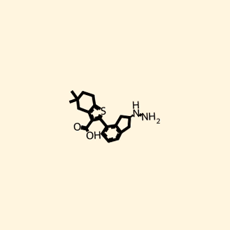 CC1(C)CCc2sc(-c3cccc4c3C[C@@H](NN)C4)c(C(=O)O)c2C1